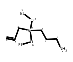 C=CC[Si](CCCN)(OCC)OCC